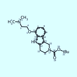 CN(C)CCOc1cccc2c3c([nH]c12)CCN(C(=O)OC(C)(C)C)C3